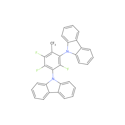 Fc1c(F)c(C(F)(F)F)c(-n2c3ccccc3c3ccccc32)c(F)c1-n1c2ccccc2c2ccccc21